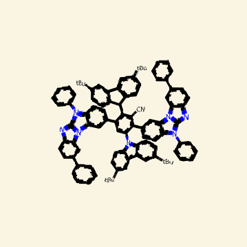 CC(C)(C)c1ccc2c(c1)-c1cc(C(C)(C)C)ccc1C2c1c(-c2ccc3c(c2)n2c4cc(-c5ccccc5)ccc4nc2n3-c2ccccc2)cc(-n2c3ccc(C(C)(C)C)cc3c3cc(C(C)(C)C)ccc32)c(-c2ccc3c(c2)n2c4cc(-c5ccccc5)ccc4nc2n3-c2ccccc2)c1C#N